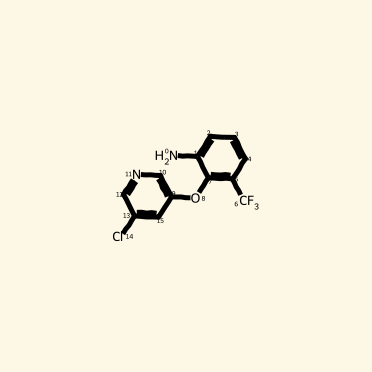 Nc1cccc(C(F)(F)F)c1Oc1cncc(Cl)c1